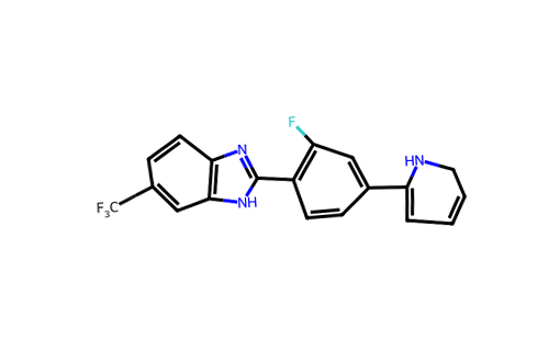 Fc1cc(C2=CC=CCN2)ccc1-c1nc2ccc(C(F)(F)F)cc2[nH]1